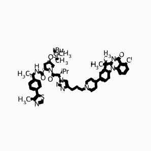 Cc1ncsc1-c1ccc([C@H](C)NC(=O)[C@@H]2C[C@@H](O[Si](C)(C)C(C)(C)C)CN2C(=O)[C@H](C(C)C)n2cc(CCCN3CCC(c4ccc5c(c4)C(C)(C)c4nc(=O)c6c(Cl)cccc6n4-5)CC3)nn2)cc1